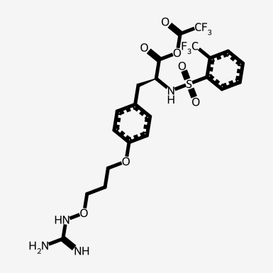 N=C(N)NOCCCOc1ccc(C[C@H](NS(=O)(=O)c2ccccc2C(F)(F)F)C(=O)OC(=O)C(F)(F)F)cc1